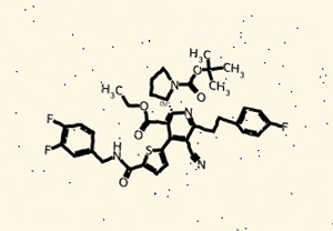 CCOC(=O)c1c([C@@H]2CCCN2C(=O)OC(C)(C)C)nc(CCc2ccc(F)cc2)c(C#N)c1-c1ccc(C(=O)NCc2ccc(F)c(F)c2)s1